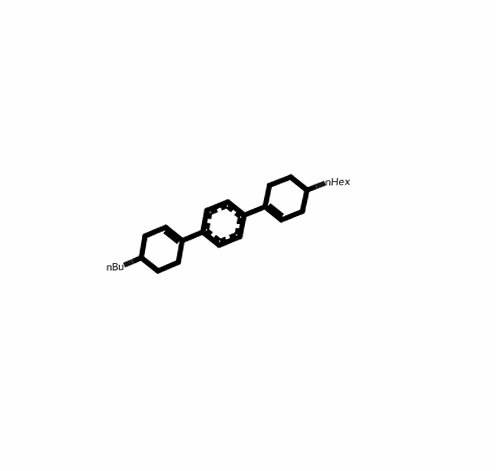 CCCCCCC1CC=C(c2ccc(C3=CCC(CCCC)CC3)cc2)CC1